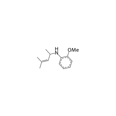 COc1ccccc1NC(C)C=C(C)C